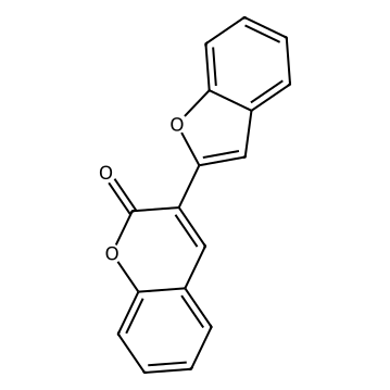 O=c1oc2ccccc2cc1-c1cc2ccccc2o1